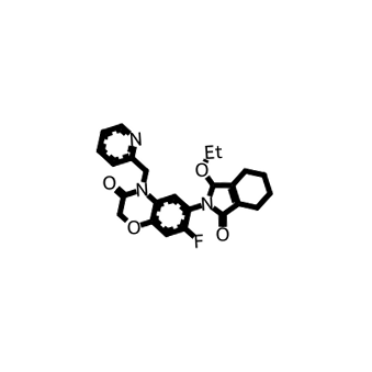 CCOC1C2=C(CCCC2)C(=O)N1c1cc2c(cc1F)OCC(=O)N2Cc1ccccn1